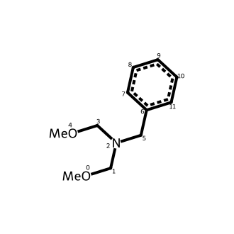 COCN(COC)Cc1ccccc1